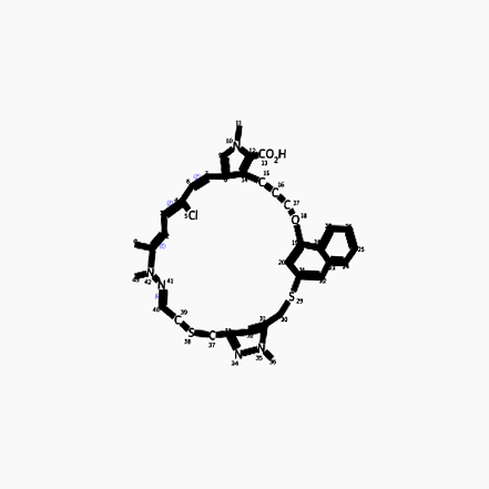 C\C1=C/C=C(Cl)/C=C\c2cn(C)c(C(=O)O)c2CCCOc2cc(cc3ccccc23)SCc2cc(nn2C)CSC/C=N/N1C